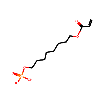 C=CC(=O)OCCCCCCCCOP(=O)(O)O